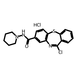 Cl.O=C(NN1CCCCC1)c1ccc2c(c1)N=C(Cl)c1ccccc1S2